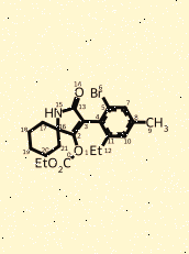 CCOC(=O)OC1=C(c2c(Br)cc(C)cc2CC)C(=O)NC12CCCCC2